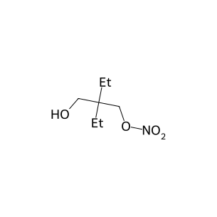 CCC(CC)(CO)CO[N+](=O)[O-]